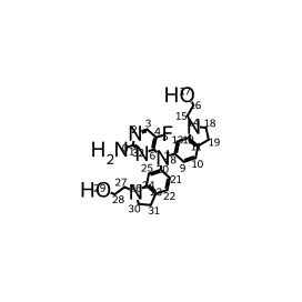 Nc1ncc(F)c(N(c2ccc3c(c2)N(CCO)CC3)c2ccc3c(c2)N(CCO)CC3)n1